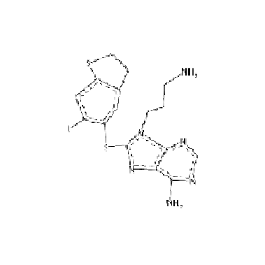 NCCCn1c(Sc2cc3c(cc2I)SCC3)nc2c(N)ncnc21